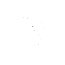 C/C(=C\c1cc(N2CCOCC2)cc(C(F)(F)F)c1)[C@H]1OC(=O)C[C@H](O)CC[C@H](C)[C@@H](OC(=O)N2CCN(C)CC2)/C=C/[C@@H]1C